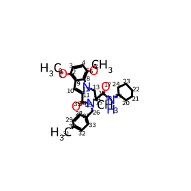 COc1ccc(OC)c2c1cc1n2CC(C)(C(=O)NC2CCCCC2)N(Cc2ccc(C)cc2)C1=O